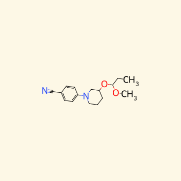 CCC(OC)OC1CCCN(c2ccc(C#N)cc2)C1